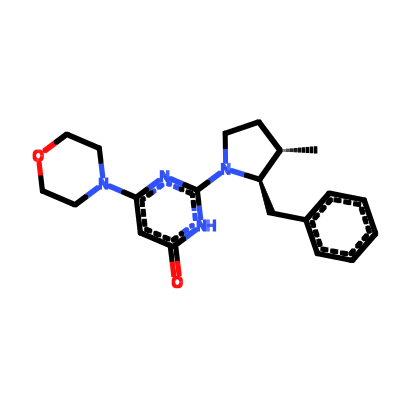 C[C@H]1CCN(c2nc(N3CCOCC3)cc(=O)[nH]2)[C@@H]1Cc1ccccc1